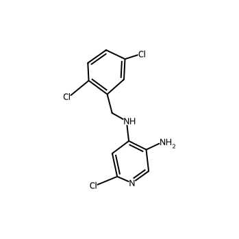 Nc1cnc(Cl)cc1NCc1cc(Cl)ccc1Cl